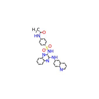 CC(=O)Nc1ccc(S(=O)(=O)Nc2nc3ccccc3nc2Nc2ccc3ncccc3c2)cc1